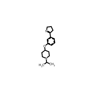 CC(C)N1CCC(Oc2cccc(C3=NCCC3)c2)CC1